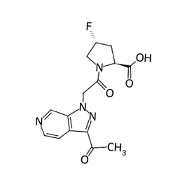 CC(=O)c1nn(CC(=O)N2C[C@H](F)C[C@H]2C(=O)O)c2cnccc12